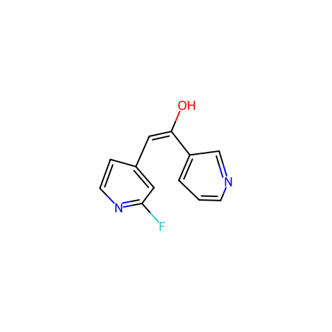 O/C(=C/c1ccnc(F)c1)c1cccnc1